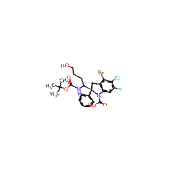 CC(C)(C)OC(=O)NC(CCCO)[C@@]1(c2ccccc2)Cc2c(cc(F)c(Cl)c2Br)N1C(=O)O